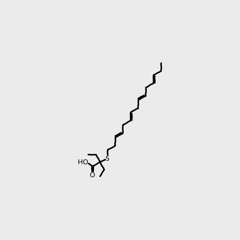 CCC=CCC=CCC=CCC=CCCSC(CC)(CC)C(=O)O